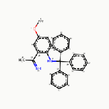 CCCOc1ccc(NC(c2ccccc2)(c2ccccc2)c2ccccc2)c(C(C)=N)c1